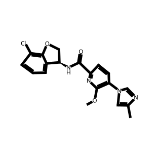 COc1nc(C(=O)N[C@@H]2COc3c(Cl)cccc32)ccc1-n1cnc(C)c1